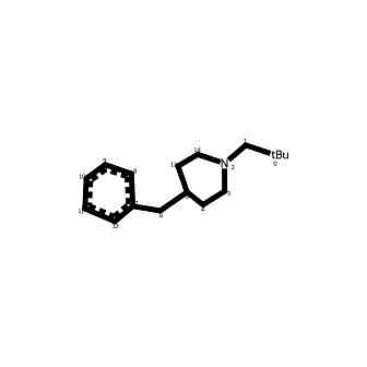 CC(C)(C)CN1CCC(Cc2ccccc2)CC1